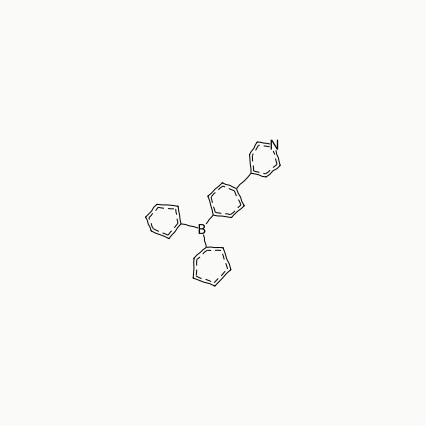 c1ccc(B(c2ccccc2)c2ccc(-c3ccncc3)cc2)cc1